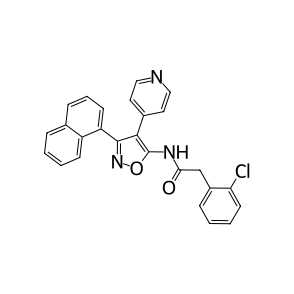 O=C(Cc1ccccc1Cl)Nc1onc(-c2cccc3ccccc23)c1-c1ccncc1